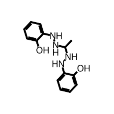 CC(NNc1ccccc1O)NNc1ccccc1O